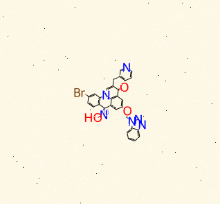 O=c1c(Cc2cccnc2)cn2c3cc(Br)ccc3/c(=N\O)c3cc(OCn4nnc5ccccc54)cc1c32